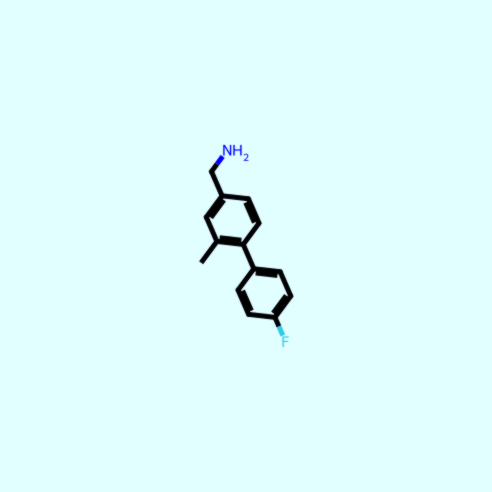 Cc1cc(CN)ccc1-c1ccc(F)cc1